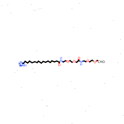 O=[C]COCCOCCNC(=O)COCCOCCNC(=O)CCCCCCCCCCCCCCCc1nnn[nH]1